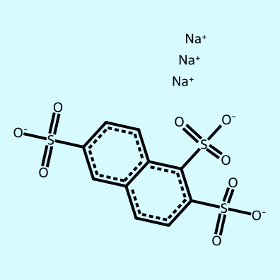 O=S(=O)([O-])c1ccc2c(S(=O)(=O)[O-])c(S(=O)(=O)[O-])ccc2c1.[Na+].[Na+].[Na+]